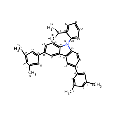 Cc1cc(C)cc(-c2ccc3c(c2)c2cc(-c4cc(C)cc(C)c4)ccc2n3-c2ccccc2C(C)C)c1